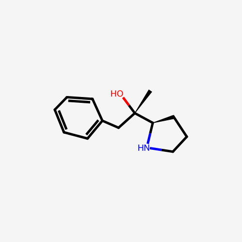 C[C@](O)(Cc1ccccc1)[C@H]1CCCN1